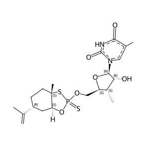 C=C(C)[C@@H]1CC[C@]2(C)SP(=S)(OC[C@H]3O[C@@H](n4cc(C)c(=O)[nH]c4=O)[C@H](O)[C@@H]3C)O[C@H]2C1